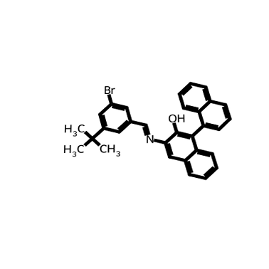 CC(C)(C)c1cc(Br)cc(C=Nc2cc3ccccc3c(-c3cccc4ccccc34)c2O)c1